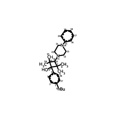 CCCCc1ccc(C2(O)C(C)(C)C(N3CCN(c4ccccc4)CC3)C2(C)C)cc1